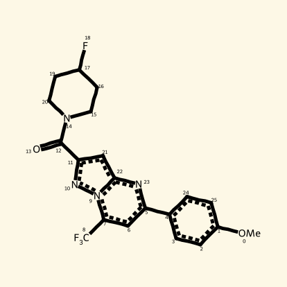 COc1ccc(-c2cc(C(F)(F)F)n3nc(C(=O)N4CCC(F)CC4)cc3n2)cc1